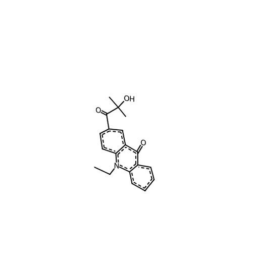 CCn1c2ccccc2c(=O)c2cc(C(=O)C(C)(C)O)ccc21